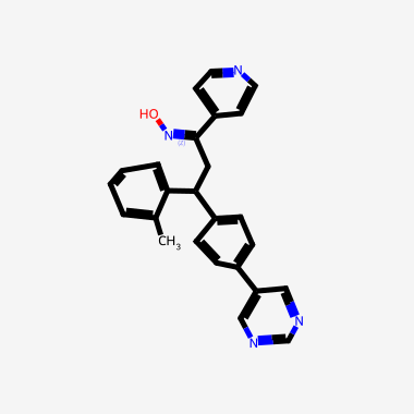 Cc1ccccc1C(C/C(=N/O)c1ccncc1)c1ccc(-c2cncnc2)cc1